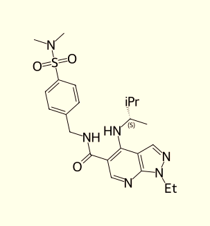 CCn1ncc2c(N[C@@H](C)C(C)C)c(C(=O)NCc3ccc(S(=O)(=O)N(C)C)cc3)cnc21